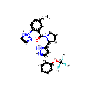 Cc1ccc(-n2nccn2)c(C(=O)N2CCCC2c2cc(-c3ccccc3OC(F)(F)F)n[nH]2)c1